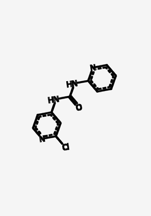 O=C(Nc1ccnc(Cl)c1)Nc1ccccn1